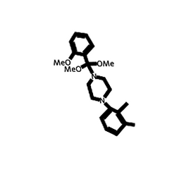 COc1ccccc1C(OC)(OC)N1CCN(c2cccc(C)c2C)CC1